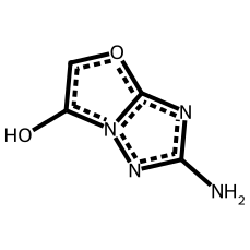 Nc1nc2occ(O)n2n1